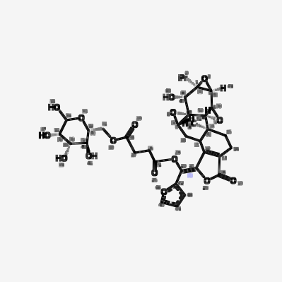 CC(C)[C@]12O[C@H]1[C@@H]1O[C@]13[C@]1(O[C@H]1CC1C4=C(CC[C@@]13C)C(=O)O/C4=C(/OC(=O)CCC(=O)OC[C@H]1OC(O)[C@@H](O)[C@@H](O)[C@@H]1O)c1ccco1)[C@@H]2O